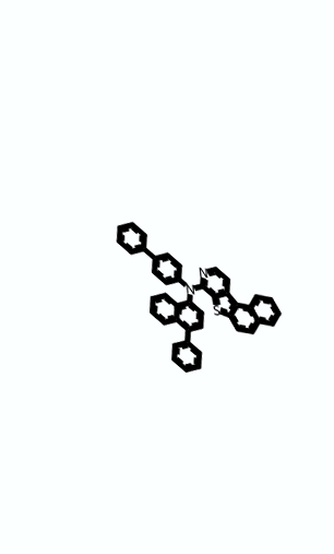 c1ccc(-c2ccc(N(c3ccc(-c4ccccc4)c4ccccc34)c3nccc4c3sc3ccc5ccccc5c34)cc2)cc1